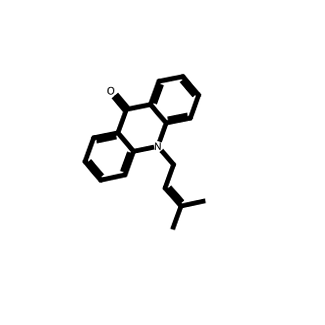 CC(C)=CCn1c2ccccc2c(=O)c2ccccc21